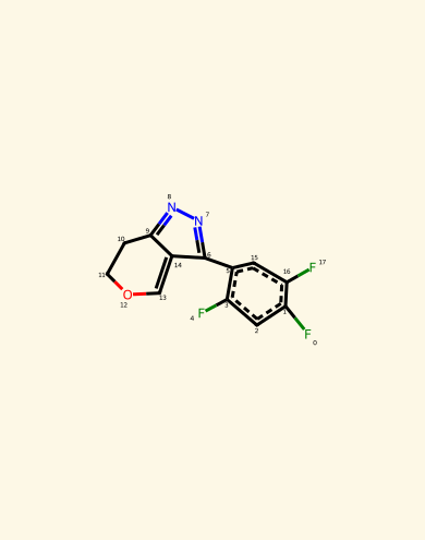 Fc1cc(F)c(C2=NN=C3CCOC=C32)cc1F